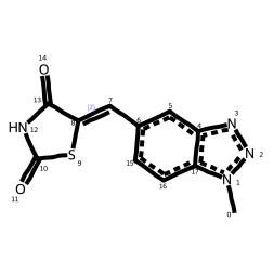 Cn1nnc2cc(/C=C3\SC(=O)NC3=O)ccc21